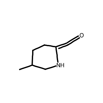 CC1CCC(=C=O)NC1